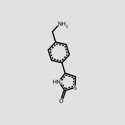 NCc1ccc(-c2csc(=O)[nH]2)cc1